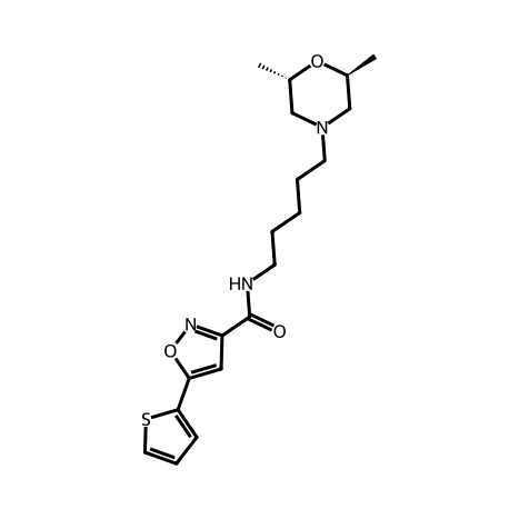 C[C@H]1CN(CCCCCNC(=O)c2cc(-c3cccs3)on2)C[C@H](C)O1